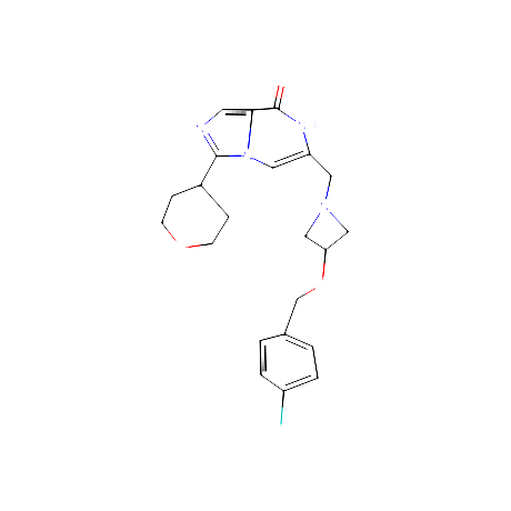 O=c1[nH]c(CN2CC(OCc3ccc(F)cc3)C2)cn2c(C3CCOCC3)ncc12